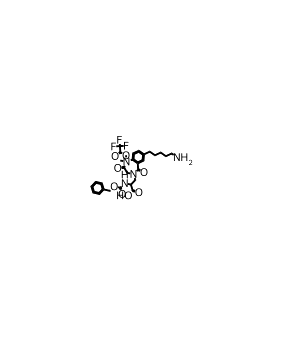 C[N+]1(OC(=O)C(F)(F)F)C(=O)CN(CC(NC(=O)OCc2ccccc2)C(=O)O)C(=O)c2cc(CCCCCN)ccc21